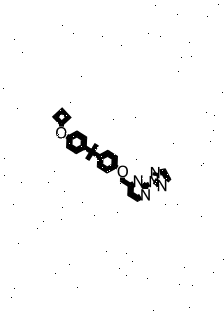 CC(C)(c1ccc(OCc2ccnc(-n3nccn3)n2)cc1)c1ccc(OC2CCC2)cc1